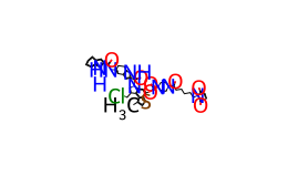 Cc1csc2c(OC(=O)N3CCN(C(=O)CCCCCN4C(=O)C=CC4=O)CC3)cc3c(c12)C(CCl)CN3C(=O)c1cc2c([nH]1)CCC(NC(=O)c1cc3ccccc3[nH]1)=C2